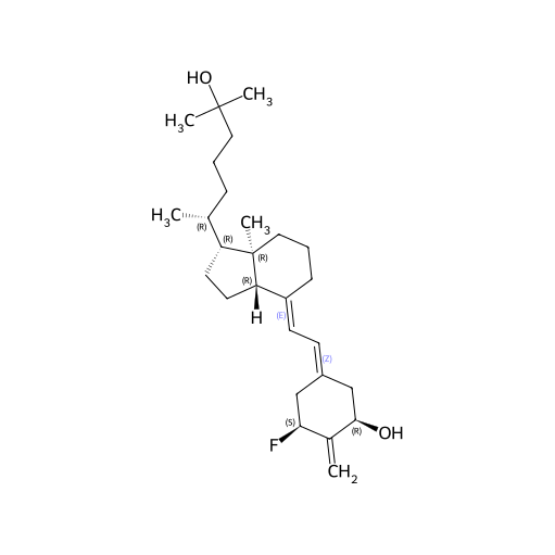 C=C1[C@H](O)C/C(=C/C=C2\CCC[C@]3(C)[C@@H]([C@H](C)CCCC(C)(C)O)CC[C@@H]23)C[C@@H]1F